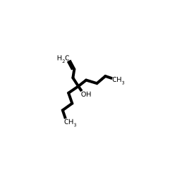 C=CCC(O)(CCCC)CCCC